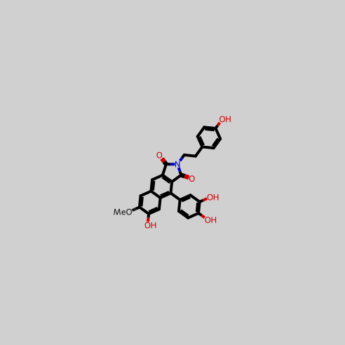 COc1cc2cc3c(c(-c4ccc(O)c(O)c4)c2cc1O)C(=O)N(CCc1ccc(O)cc1)C3=O